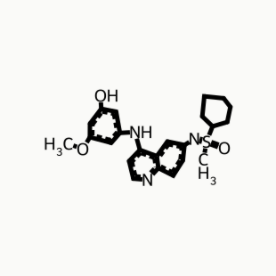 COc1cc(O)cc(Nc2ccnc3ccc(N=S(C)(=O)C4CCCCC4)cc23)c1